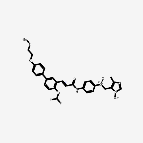 CCCCOCCOc1ccc(-c2ccc(OC(F)F)c(/C=C/C(=O)Nc3ccc([S@@+]([O-])Cc4c(C)ncn4CCC)cc3)c2)cc1